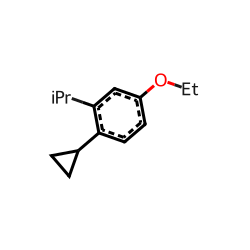 [CH2]C(C)c1cc(OCC)ccc1C1CC1